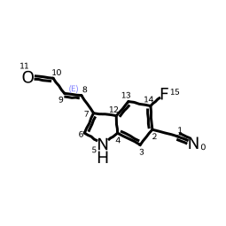 N#Cc1cc2[nH]cc(/C=C/C=O)c2cc1F